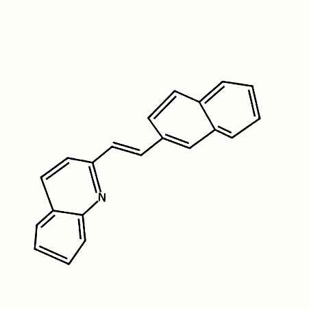 C(=Cc1ccc2ccccc2n1)c1ccc2ccccc2c1